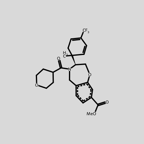 COC(=O)c1ccc2c(c1)OC[C@H](C1(C)C=CC(C(F)(F)F)=CC1)N(C(=O)C1CCOCC1)C2